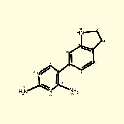 Nc1ncc(-c2ccc3c(c2)NCC3)c(N)n1